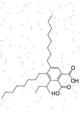 CCCCCCCCc1cc(C(=O)O)c(C(=O)O)c(C(C)CC)c1CCCCCCCC